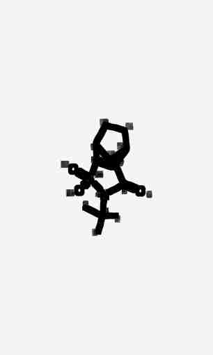 CC(C)(C)N1C(=O)C2=C(C3CCC2C3)S1(=O)=O